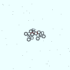 C[Si]1(C)c2ccc(-c3ccccc3N3c4ccccc4Oc4ccccc43)cc2-c2cc(-c3ccccc3N3c4ccccc4Oc4ccccc43)ccc21